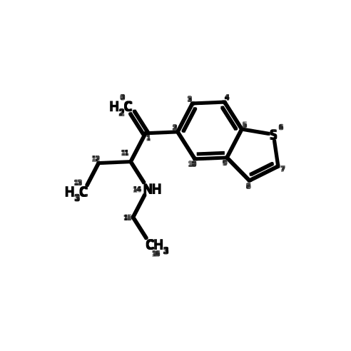 C=C(c1ccc2sccc2c1)C(CC)NCC